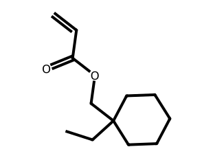 C=CC(=O)OCC1(CC)CCCCC1